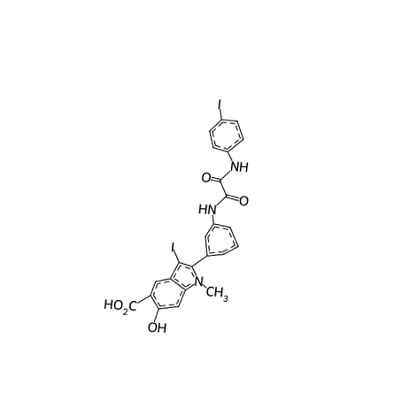 Cn1c(-c2cccc(NC(=O)C(=O)Nc3ccc(I)cc3)c2)c(I)c2cc(C(=O)O)c(O)cc21